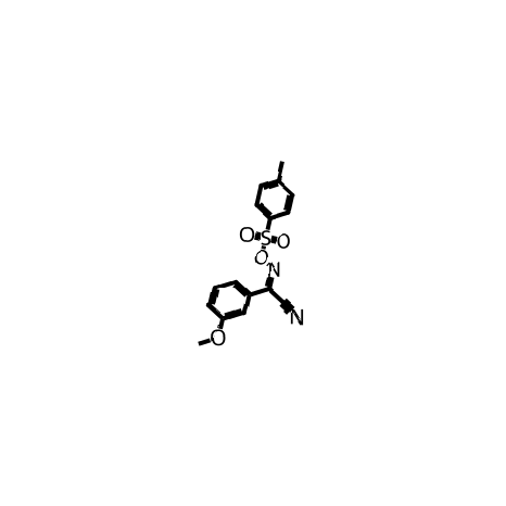 COc1cccc(/C(C#N)=N\OS(=O)(=O)c2ccc(C)cc2)c1